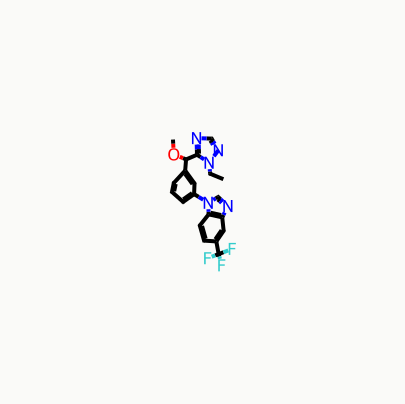 CCn1ncnc1C(OC)c1cccc(-n2cnc3cc(C(F)(F)F)ccc32)c1